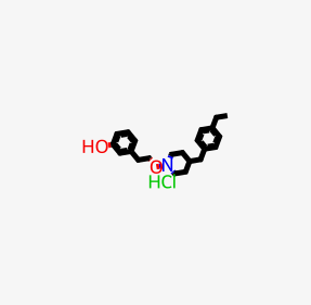 CCc1ccc(CC2CCN(OCCc3cccc(O)c3)CC2)cc1.Cl